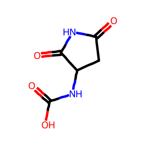 O=C(O)NC1CC(=O)NC1=O